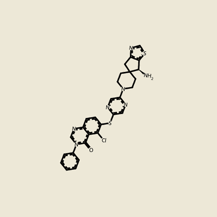 N[C@@H]1c2scnc2CC12CCN(c1cnc(Sc3ccc4ncn(-c5ccccc5)c(=O)c4c3Cl)cn1)CC2